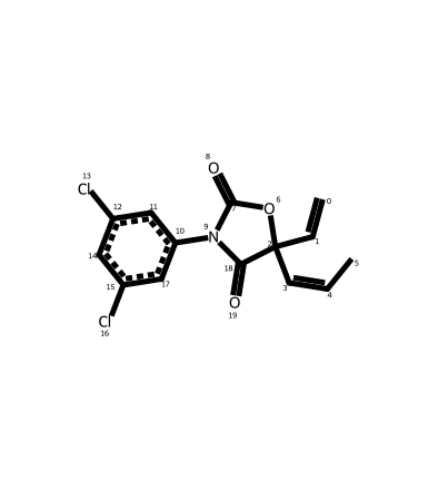 C=CC1(/C=C\C)OC(=O)N(c2cc(Cl)cc(Cl)c2)C1=O